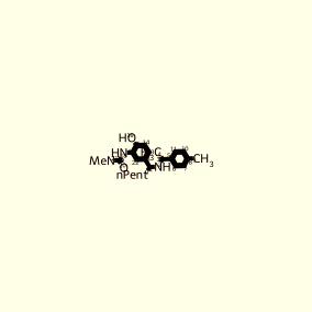 CCCCCC(NC(C)c1ccc(C)cc1)c1ccc(O)c(NC(=O)NC)c1